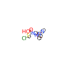 Cc1nc2ccccc2n1C1CC2CCC(C1)N2CCC1(c2ccccc2)CCN(C(C(=O)O)c2ccc(Cl)s2)CC1